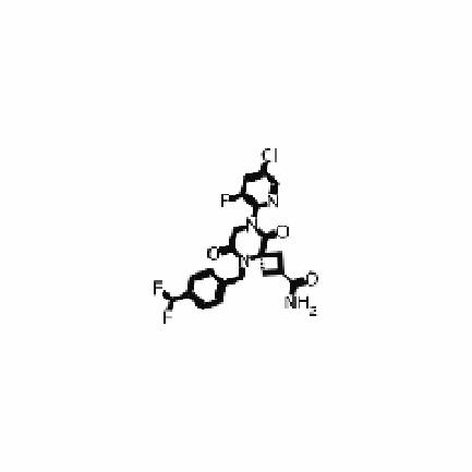 NC(=O)[C@H]1C[C@@]2(C1)C(=O)N(c1ncc(Cl)cc1F)CC(=O)N2Cc1ccc(C(F)F)cc1